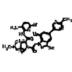 CCc1cc(-c2cnc(C)nc2)cc2c(C(C)=O)nn(CC(=O)N3C4C[C@]4(CN(C)C)C[C@H]3C(=O)Nc3nc(Br)ccc3C)c12